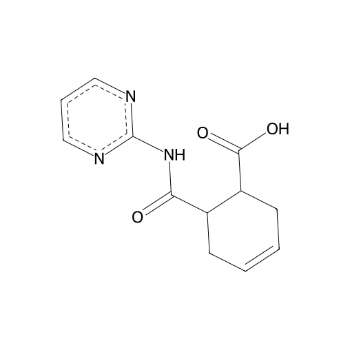 O=C(O)C1CC=CCC1C(=O)Nc1ncccn1